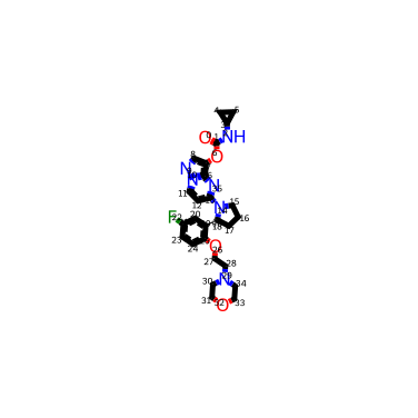 O=C(NC1CC1)Oc1cnn2ccc(N3CCC[C@@H]3c3cc(F)ccc3OCCN3CCOCC3)nc12